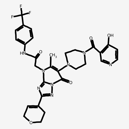 Cc1c(N2CCN(C(=O)c3cnccc3O)CC2)c(=O)n2nc(C3=CCOCC3)nc2n1CC(=O)Nc1ccc(C(F)(F)F)cc1